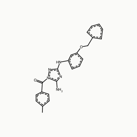 Cc1ccc(C(=O)n2nc(Nc3cccc(OCc4ccccc4)c3)nc2N)cc1